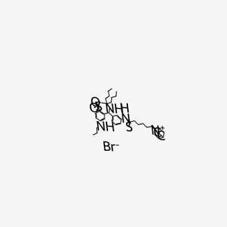 CCCCC1(CCCC)CS(=O)(=O)c2ccc(NCCC)cc2C(c2cccc(NC(=S)CCCCC[N+]34CCC(CC3)CC4)c2)N1.[Br-]